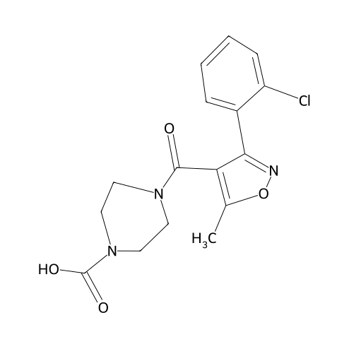 Cc1onc(-c2ccccc2Cl)c1C(=O)N1CCN(C(=O)O)CC1